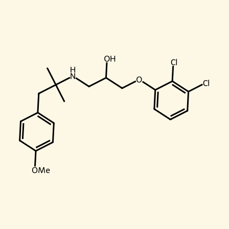 COc1ccc(CC(C)(C)NCC(O)COc2cccc(Cl)c2Cl)cc1